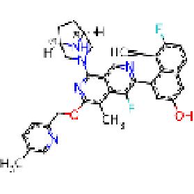 C#Cc1c(F)ccc2cc(O)cc(-c3ncc4c(N5C[C@H]6CC[C@@H](C5)N6)nc(OCc5ccc(C)cn5)c(C)c4c3F)c12